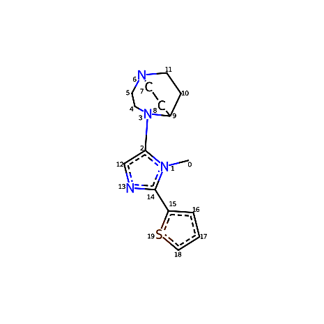 Cn1c(N2CCN3CCC2CC3)cnc1-c1cccs1